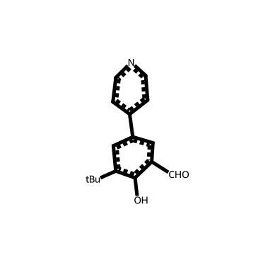 CC(C)(C)c1cc(-c2ccncc2)cc(C=O)c1O